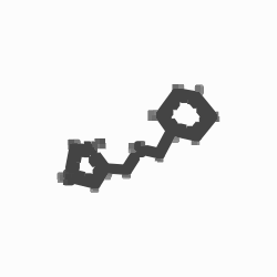 c1ccc(CSCc2cscn2)cc1